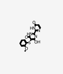 COc1ccccc1Sc1c(O)nc(-c2nccc(=O)[nH]2)[nH]c1=O